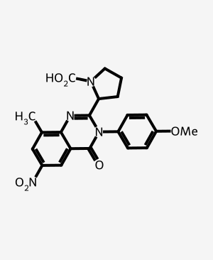 COc1ccc(-n2c(C3CCCN3C(=O)O)nc3c(C)cc([N+](=O)[O-])cc3c2=O)cc1